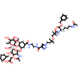 CC[C@@H]1CC(C(=O)NCCNC(=O)c2cn(CCC(C)(C)OCC(C)(C)C(=O)N[C@@H](CCCCNC(C)=O)C(=O)OCc3ccccc3)nn2)CC(O[C@@H]2O[C@@H](CO)C(O)C(O[C@@H](CC3CCCCC3)C(=O)O)C2NC(C)=O)C1OC1OC(C)C(O)C(O)C1O